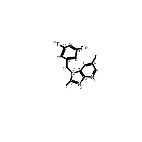 Cc1nc2ncc(I)cc2n1Cc1cc(F)cc(F)c1